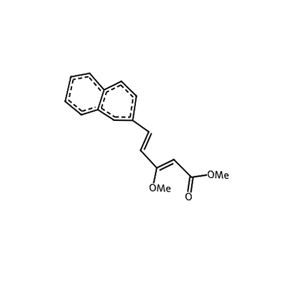 COC(=O)C=C(C=Cc1ccc2ccccc2c1)OC